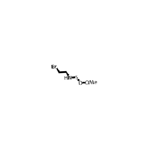 COOSNCCBr